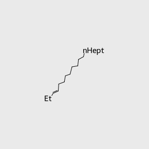 [CH2]CCCCCCCCCCCCCCC=CCC